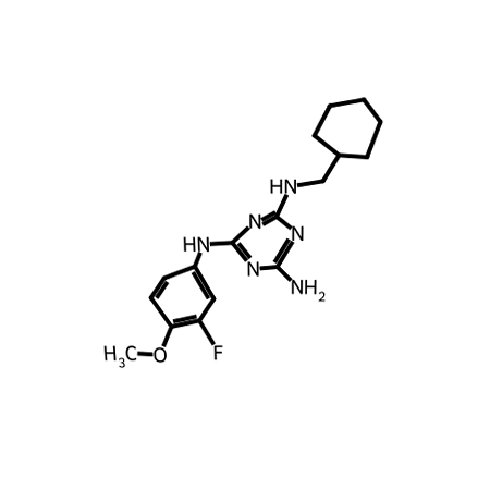 COc1ccc(Nc2nc(N)nc(NCC3CCCCC3)n2)cc1F